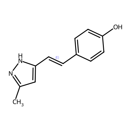 Cc1cc(/C=C/c2ccc(O)cc2)[nH]n1